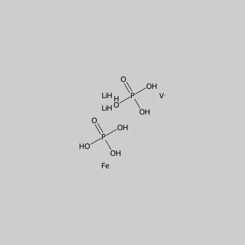 O=P(O)(O)O.O=P(O)(O)O.[Fe].[LiH].[LiH].[V]